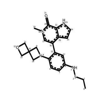 CCSNc1ccc(N2CC3(COC3)C2)c(-c2cn(C)c(=O)c3[nH]ccc23)c1